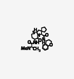 CNC(C)C(=O)N[C@H]1CCS[C@H]2CC3(CCCC3)[C@@H](C(=O)N[C@@H]3CCOc4ccccc43)N2C1=O